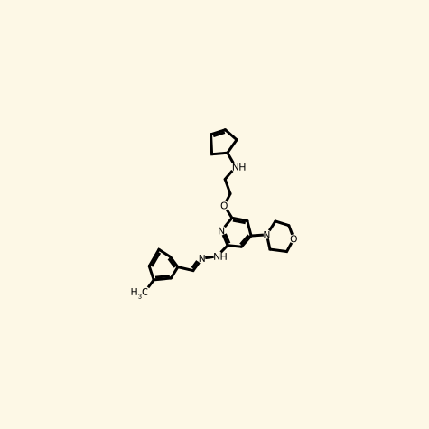 Cc1cccc(/C=N/Nc2cc(N3CCOCC3)cc(OCCNC3CC=CC3)n2)c1